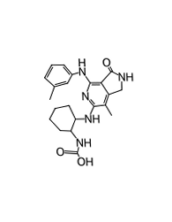 Cc1cccc(Nc2nc(NC3CCCCC3NC(=O)O)c(C)c3c2C(=O)NC3)c1